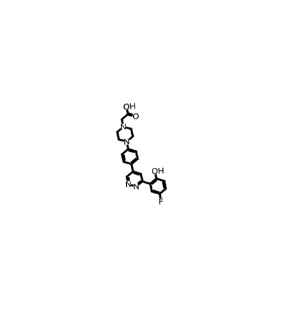 O=C(O)CN1CCN(c2ccc(-c3cnnc(-c4cc(F)ccc4O)c3)cc2)CC1